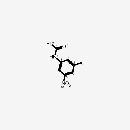 CCC(=O)Nc1cc(C)cc([N+](=O)[O-])c1